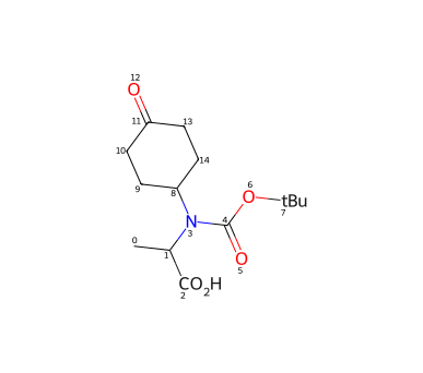 CC(C(=O)O)N(C(=O)OC(C)(C)C)C1CCC(=O)CC1